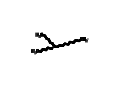 [CH2]CCCCCCCCCN(CCCCCC)CCCCCC